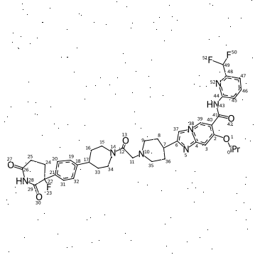 CC(C)Oc1cc2nc(C3CCN(CC(=O)N4CCC(c5ccc(C6(F)CCC(=O)NC6=O)cc5)CC4)CC3)cn2cc1C(=O)Nc1cccc(C(F)F)n1